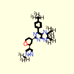 [2H]C([2H])([2H])c1ccc(-c2nc([C@@H]3CCO[C@H](c4cnn(C([2H])([2H])[2H])c4)C3)nc3nc(C([2H])([2H])[2H])c(C([2H])([2H])[2H])nc23)cc1